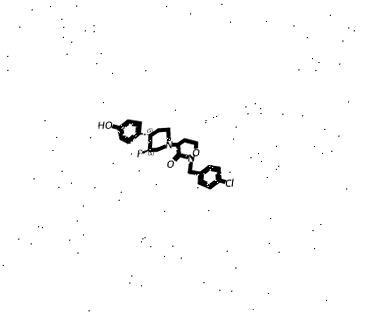 O=C1C(N2CC[C@@H](c3ccc(O)cc3)[C@H](F)C2)CCON1Cc1ccc(Cl)cc1